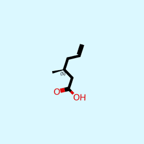 C=CC[C@H](C)CC(=O)O